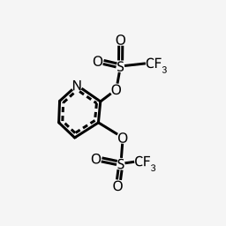 O=S(=O)(Oc1cccnc1OS(=O)(=O)C(F)(F)F)C(F)(F)F